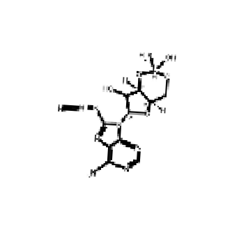 B[PH]1(O)OC[C@H]2O[C@@H](n3c(N=[N+]=[N-])nc4c(N)ncnc43)C(O)[C@@H]2O1